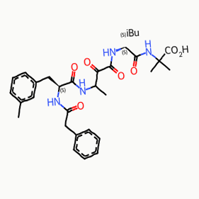 CC[C@H](C)[C@H](NC(=O)C(=O)C(C)NC(=O)[C@H](Cc1cccc(C)c1)NC(=O)Cc1ccccc1)C(=O)NC(C)(C)C(=O)O